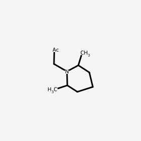 CC(=O)CN1C(C)CCCC1C